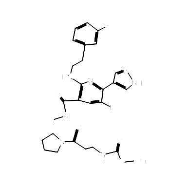 CC(C)(C)OC(=O)NCCC(=O)N1CCC[C@@H]1CNC(=O)c1cc(F)c(-c2cn[nH]c2)nc1NCCc1cccc(F)c1